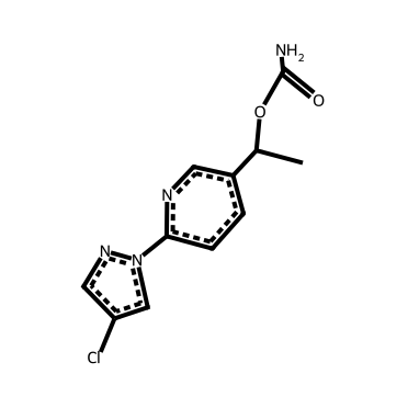 CC(OC(N)=O)c1ccc(-n2cc(Cl)cn2)nc1